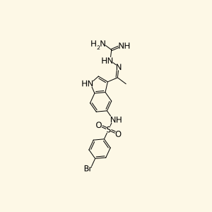 C/C(=N/NC(=N)N)c1c[nH]c2ccc(NS(=O)(=O)c3ccc(Br)cc3)cc12